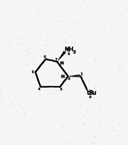 CC(C)(C)C[C@@H]1CCCC[C@@H]1N